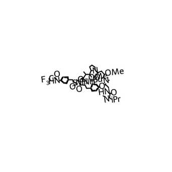 CCC(C)C(C(CC(=O)N1CCCC1C(OC)C(C)C(=O)NC(Cc1ccccc1)C(=O)N[S+]([O-])Cc1ccc(NC(=O)C(F)(F)F)cc1)OC)N(C)C(=O)CNC(=O)C(C(C)C)N(C)C